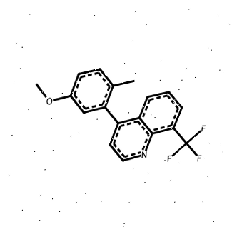 COc1ccc(C)c(-c2ccnc3c(C(F)(F)F)cccc23)c1